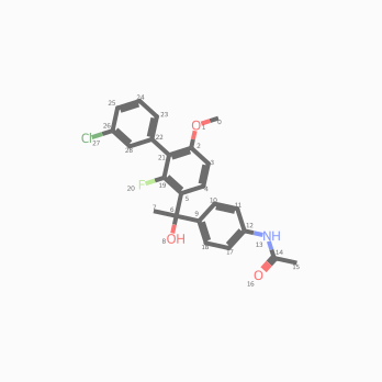 COc1ccc(C(C)(O)c2ccc(NC(C)=O)cc2)c(F)c1-c1cccc(Cl)c1